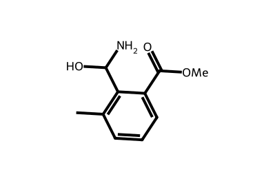 COC(=O)c1cccc(C)c1C(N)O